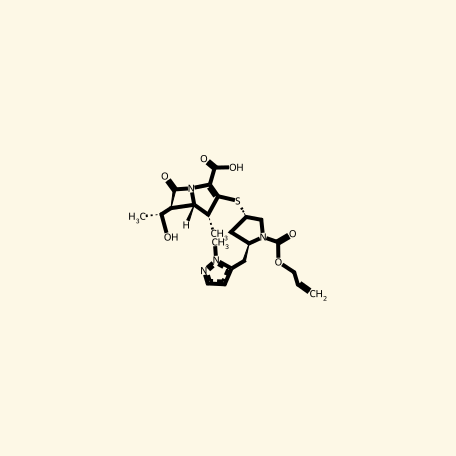 C=CCOC(=O)N1C[C@@H](SC2=C(C(=O)O)N3C(=O)[C@H]([C@@H](C)O)[C@H]3[C@H]2C)C[C@@H]1Cc1ccnn1C